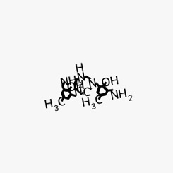 Cc1cc(CN)c(O)c(CN2CCCNCCN(Cc3cc(C)cc(CN)c3O)CCC2)c1